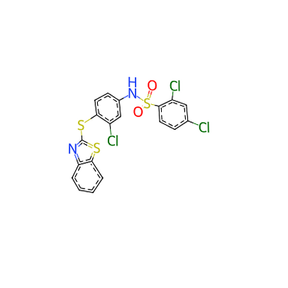 O=S(=O)(Nc1ccc(Sc2nc3ccccc3s2)c(Cl)c1)c1ccc(Cl)cc1Cl